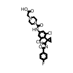 O=C(O)CN1CCN(C(=O)Nc2cc(Cl)c(C3(c4noc(-c5ccc(F)cc5)n4)CC3)c(Cl)c2)CC1